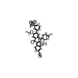 CCOc1cc2c(=O)c3c4ccc(C#N)cc4[nH]c3n(C3CCN(C)CC3)c2cc1-c1cccc(S(=O)(=O)F)c1